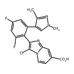 Cc1nn(C)cc1-c1cc(F)cc(F)c1-c1nc2cc(C(=O)O)ccn2c1Cl